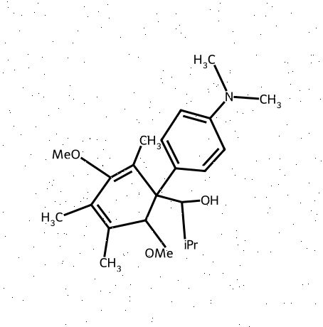 COC1=C(C)C(c2ccc(N(C)C)cc2)(C(O)C(C)C)C(OC)C(C)=C1C